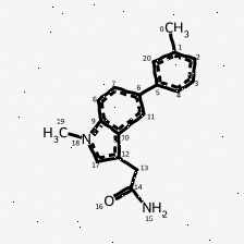 Cc1cccc(-c2ccc3c(c2)c(CC(N)=O)cn3C)c1